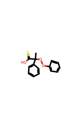 CC(OOc1ccccc1)(C(O)=S)c1ccccc1